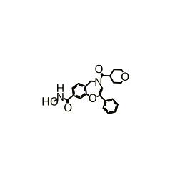 O=C(NO)c1ccc2c(c1)OC(c1ccccc1)=CN(C(=O)C1CCOCC1)C2